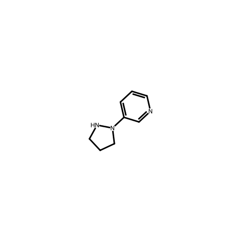 c1cncc(N2CCCN2)c1